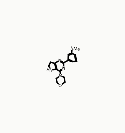 CNc1cccc(-c2nc3c(c(N4CCOCC4)n2)NCC3)c1